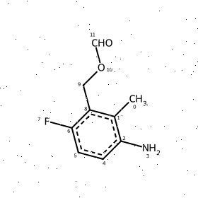 Cc1c(N)ccc(F)c1COC=O